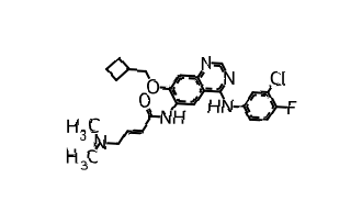 CN(C)CC=CC(=O)Nc1cc2c(Nc3ccc(F)c(Cl)c3)ncnc2cc1OCC1CCC1